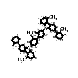 Cc1ccccc1-c1ccc2c3c(C)cccc3n(-c3ccc(-c4ccc(-n5c6cc(-c7ccccc7C)ccc6c6c(C)cccc65)cc4C)c(C)c3)c2c1